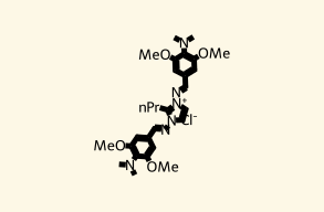 CCCc1n(N=Cc2cc(OC)c(N(C)C)c(OC)c2)cc[n+]1N=Cc1cc(OC)c(N(C)C)c(OC)c1.[Cl-]